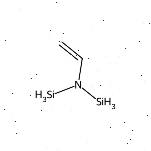 C=CN([SiH3])[SiH3]